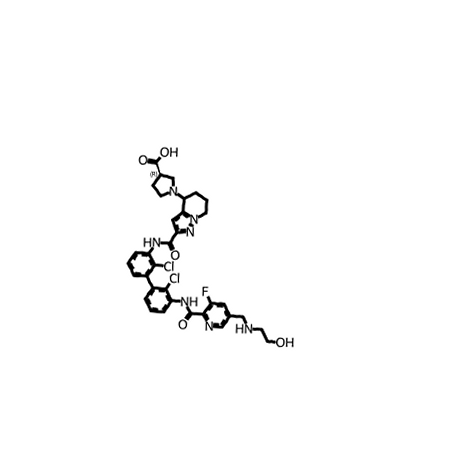 O=C(Nc1cccc(-c2cccc(NC(=O)c3ncc(CNCCO)cc3F)c2Cl)c1Cl)c1cc2n(n1)CCCC2N1CC[C@@H](C(=O)O)C1